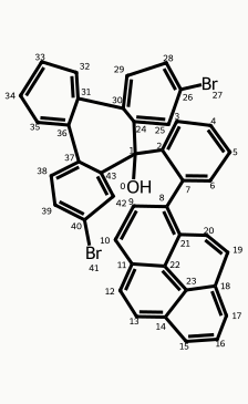 OC1(c2ccccc2-c2ccc3ccc4cccc5ccc2c3c45)c2cc(Br)ccc2-c2ccccc2-c2ccc(Br)cc21